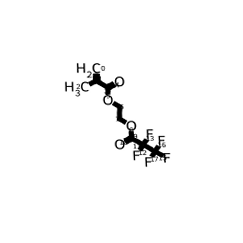 C=C(C)C(=O)OCCOC(=O)C(F)(F)C(F)(F)F